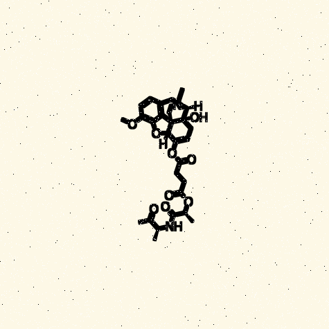 COc1ccc2c3c1O[C@H]1C(OC(=O)CCC(=O)O[C@@H](C)C(=O)N[C@@H](C)C(C)=O)=CC[C@@]4(O)[C@@H](C2)N(C)CC[C@]314